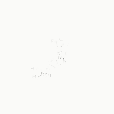 CC(COc1ccc(-n2nc3c(cc2=O)CCc2ccc(F)cc2-3)cc1)N(C)C